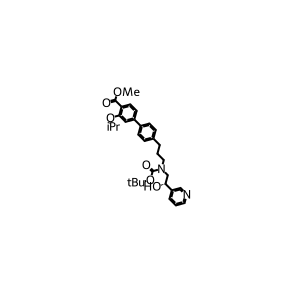 COC(=O)c1ccc(-c2ccc(CCCN(C[C@@H](O)c3cccnc3)C(=O)OC(C)(C)C)cc2)cc1OC(C)C